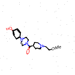 COCCN1CCC(C(=O)N2CCN(c3ccc(O)cc3)CC2)CC1